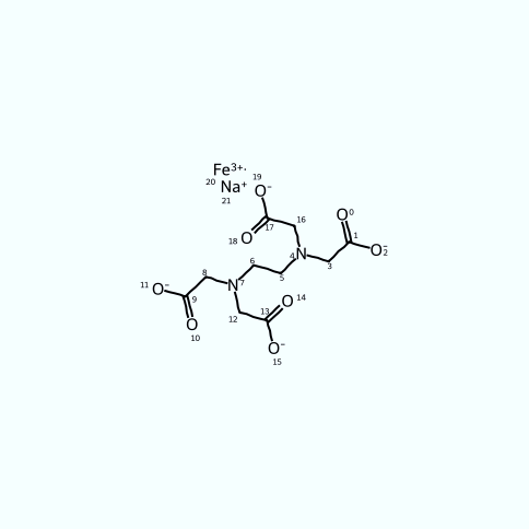 O=C([O-])CN(CCN(CC(=O)[O-])CC(=O)[O-])CC(=O)[O-].[Fe+3].[Na+]